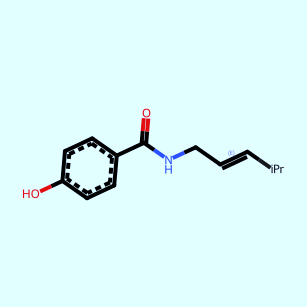 CC(C)/C=C/CNC(=O)c1ccc(O)cc1